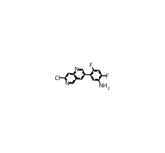 Nc1cc(-c2cnc3cc(Cl)ncc3c2)c(F)cc1F